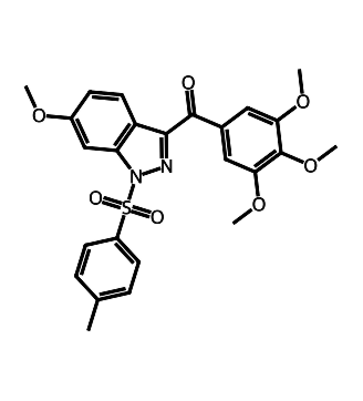 COc1ccc2c(C(=O)c3cc(OC)c(OC)c(OC)c3)nn(S(=O)(=O)c3ccc(C)cc3)c2c1